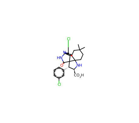 CC1(C)CCC2(CC1)N[C@@H](C(=O)O)[C@H](c1cccc(Cl)c1)C21C(=O)Nc2nc(Cl)ccc21